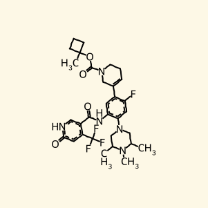 CC1CN(c2cc(F)c(C3=CCCN(C(=O)OC4(C)CCC4)C3)cc2NC(=O)c2c[nH]c(=O)cc2C(F)(F)F)CC(C)N1C